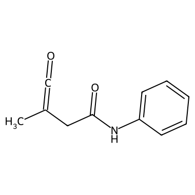 CC(=C=O)CC(=O)Nc1ccccc1